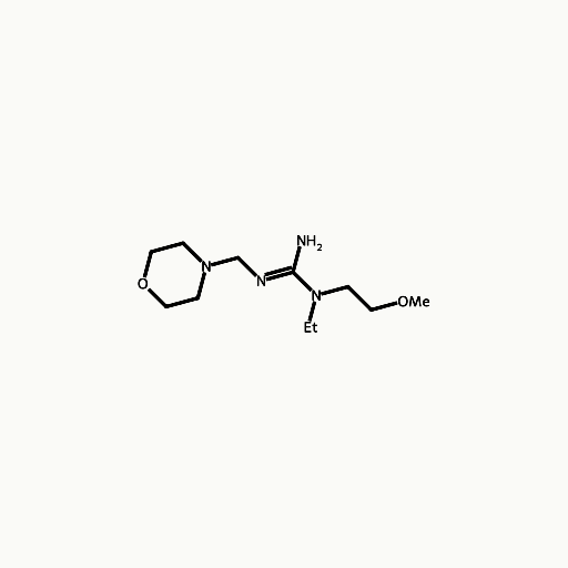 CCN(CCOC)/C(N)=N/CN1CCOCC1